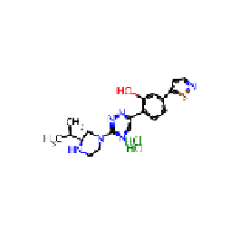 CC(C)[C@H]1CN(c2ncc(-c3ccc(-c4ccns4)cc3O)nn2)CCN1.Cl.Cl